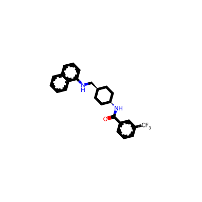 O=C(N[C@H]1CC[C@H](CNc2cccc3ccccc23)CC1)c1cccc(C(F)(F)F)c1